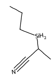 CCC[SiH2]C(C)C#N